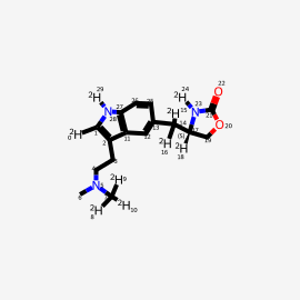 [2H]c1c(CCN(C)C([2H])([2H])[2H])c2cc(C([2H])([2H])[C@@]3([2H])COC(=O)N3[2H])ccc2n1[2H]